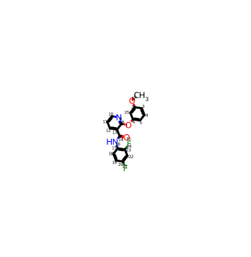 COc1cccc(Oc2ncccc2C(=O)Nc2ccc(F)cc2F)c1